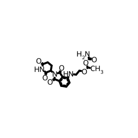 CC(OCCNc1cccc2c1C(=O)N(C1CCC(=O)NC1=O)C2=O)OC(N)=O